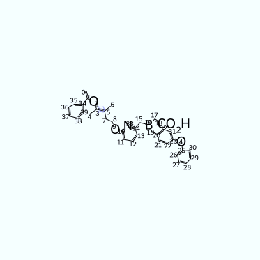 C=C(O/C(C)=C(\C)CCOc1cccc(CB(CC(=O)O)Cc2ccc(Oc3ccccc3)cc2)n1)c1ccccc1